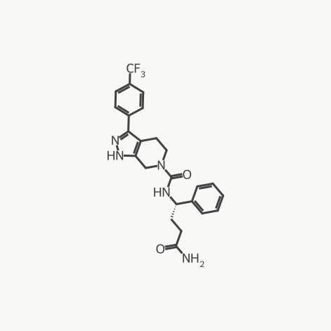 NC(=O)CC[C@H](NC(=O)N1CCc2c(-c3ccc(C(F)(F)F)cc3)n[nH]c2C1)c1ccccc1